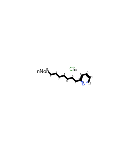 CCCCCCCCCCCCCCCCC1=CC=CC=[N+]1.[Cl-]